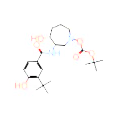 CC(C)(C)OC(=O)ON1CCC[C@@H](O)[C@H](NC(=O)c2ccc(O)c(C(C)(C)C)c2)C1